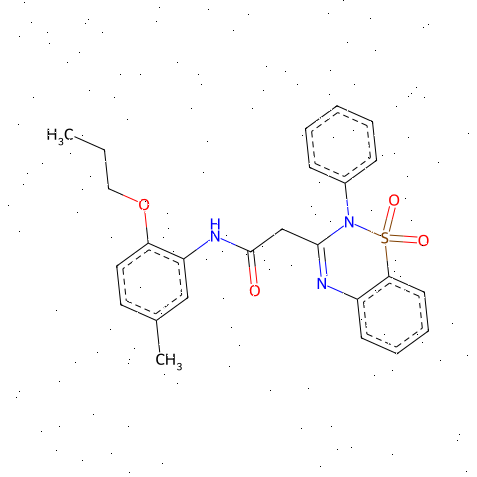 CCCOc1ccc(C)cc1NC(=O)CC1=Nc2ccccc2S(=O)(=O)N1c1ccccc1